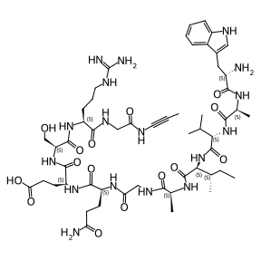 CC#CNC(=O)CNC(=O)[C@H](CCCNC(=N)N)NC(=O)[C@H](CO)NC(=O)[C@H](CCC(=O)O)NC(=O)[C@H](CCC(N)=O)NC(=O)CNC(=O)[C@H](C)NC(=O)[C@@H](NC(=O)[C@@H](NC(=O)[C@H](C)NC(=O)[C@@H](N)Cc1c[nH]c2ccccc12)C(C)C)[C@@H](C)CC